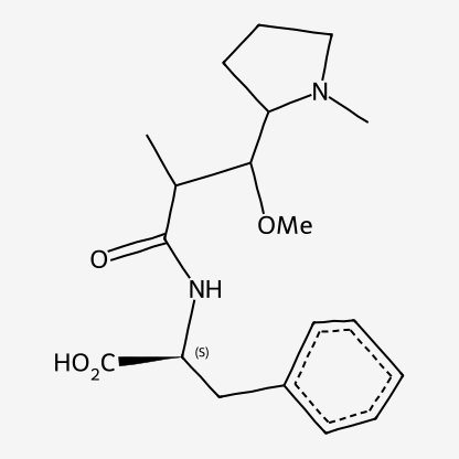 COC(C(C)C(=O)N[C@@H](Cc1ccccc1)C(=O)O)C1CCCN1C